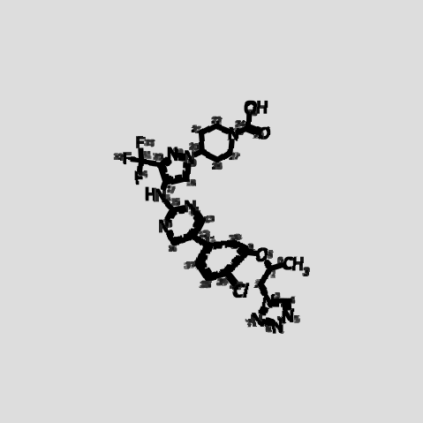 CC(Cn1cnnn1)Oc1cc(-c2cnc(Nc3cn(C4CCN(C(=O)O)CC4)nc3C(F)(F)F)nc2)ccc1Cl